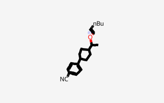 CCCC/C=C/OC(C)C1CCC(c2ccc(C#N)cc2)CC1